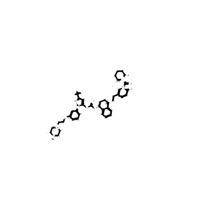 C[C@@H]1CCC[C@H](C)N1c1nnc2ccc(CC[C@@H]3CC[C@H](NC(=O)Nc4cc(C(C)(C)C)nn4-c4cccc(OCCN5CCN(C)CC5)c4)c4ccccc43)cn12